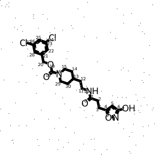 O=C(CCc1cc(O)no1)NCCC1CCN(C(=O)OCc2cc(Cl)cc(Cl)c2)CC1